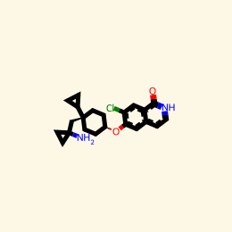 NC1(C[C@]2(C3CC3)CC[C@@H](Oc3cc4cc[nH]c(=O)c4cc3Cl)CC2)CC1